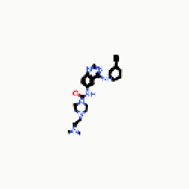 C#Cc1cccc(Nc2ncnc3ccc(NC(=O)N4CCN(CCN(C)C)CC4)cc23)c1